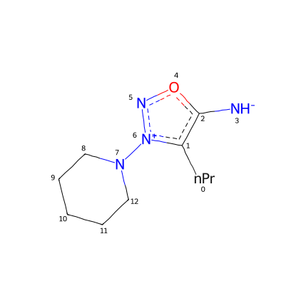 CCCc1c([NH-])on[n+]1N1CCCCC1